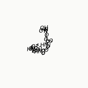 COc1cc(Nc2cc(Oc3ccc(NC(=O)Nc4cc(C(C)(C)C)cc(NS(C)(=O)=O)c4OC)c4ccccc34)ccn2)cc(OCCOCCn2cc(C(=O)O)c(C)n2)c1